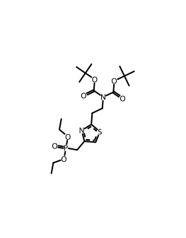 CCOP(=O)(Cc1csc(CCN(C(=O)OC(C)(C)C)C(=O)OC(C)(C)C)n1)OCC